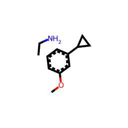 CCN.COc1cccc(C2CC2)c1